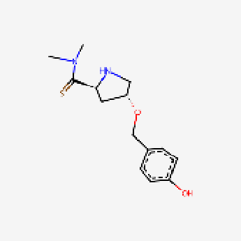 CN(C)C(=S)[C@@H]1C[C@@H](OCc2ccc(O)cc2)CN1